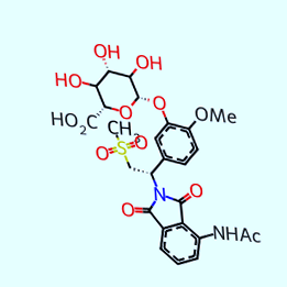 COc1ccc([C@@H](CS(C)(=O)=O)N2C(=O)c3cccc(NC(C)=O)c3C2=O)cc1O[C@@H]1O[C@H](C(=O)O)C(O)[C@H](O)C1O